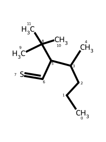 CCCC(C)[C](C=S)C(C)(C)C